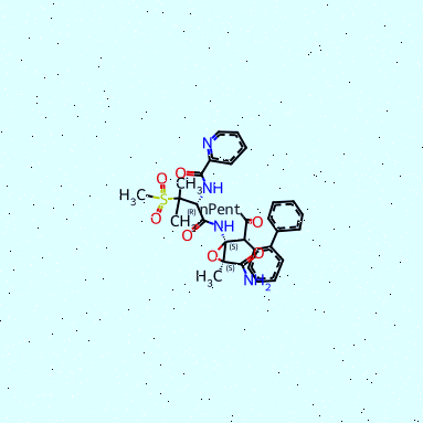 CCCCCC(=O)[C](c1ccccc1-c1ccccc1)[C@]1(NC(=O)[C@@H](NC(=O)c2ccccn2)C(C)(C)S(C)(=O)=O)O[C@]1(C)C(N)=O